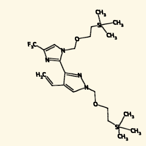 C=Cc1cn(COCC[Si](C)(C)C)nc1-c1nc(C(F)(F)F)cn1COCC[Si](C)(C)C